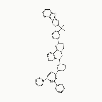 CC1(C)c2cc(C3=CCC4CC(C5=CC(C6=NC(c7ccccc7)NC(c7ccccc7)=C=C6)CC=C5)c5ccccc5C4=C3)ccc2-c2cc3c(cc21)oc1ccccc13